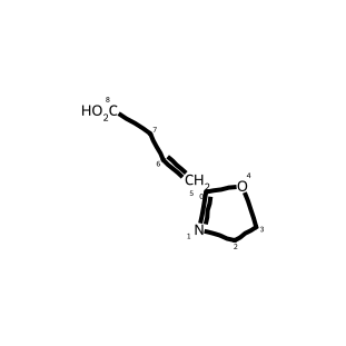 C1=NCCO1.C=CCC(=O)O